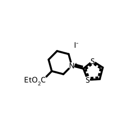 CCOC(=O)C1CCC[N+](=c2sccs2)C1.[I-]